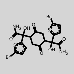 NC(=O)C(O)(c1ccc(Br)s1)C1CC(=O)C(C(O)(C(N)=O)c2ccc(Br)s2)CC1=O